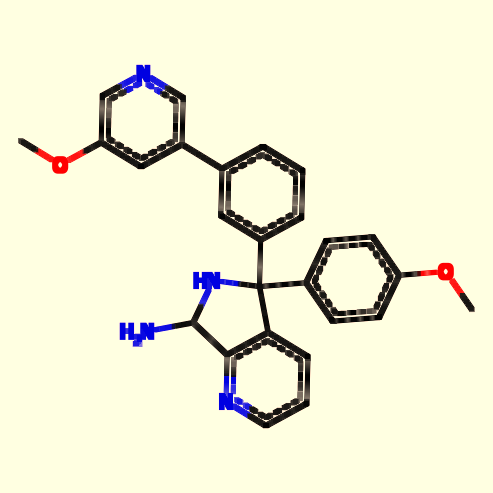 COc1ccc(C2(c3cccc(-c4cncc(OC)c4)c3)NC(N)c3ncccc32)cc1